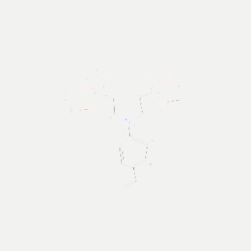 C=Cc1ccc(N(CC[Si](OCC)(OCC)OCC)CC[Si](OCC)(OCC)OCC)cc1